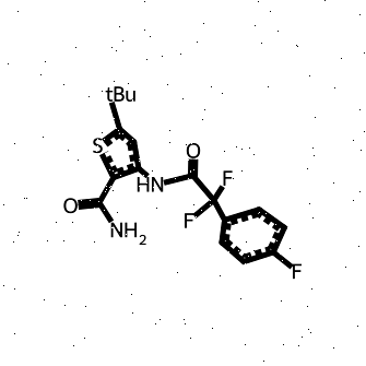 CC(C)(C)c1cc(NC(=O)C(F)(F)c2ccc(F)cc2)c(C(N)=O)s1